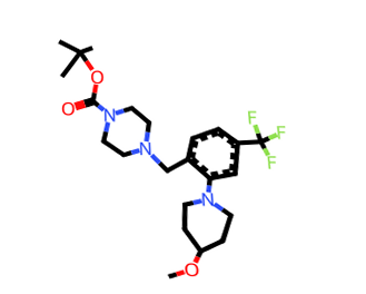 COC1CCN(c2cc(C(F)(F)F)ccc2CN2CCN(C(=O)OC(C)(C)C)CC2)CC1